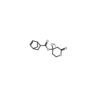 CC1(OC(=O)C2CC3C=CC2C3)CCOC(=O)C1